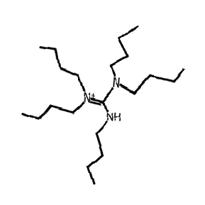 CCCCNC(N(CCCC)CCCC)=[N+](CCCC)CCCC